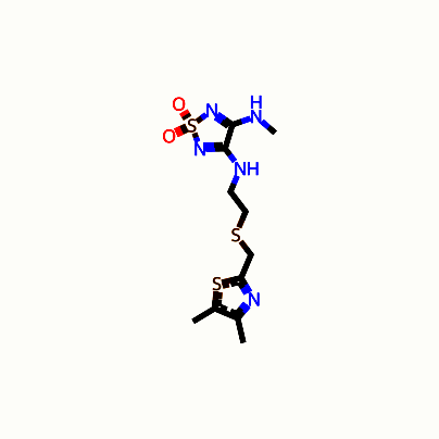 CNC1=NS(=O)(=O)N=C1NCCSCc1nc(C)c(C)s1